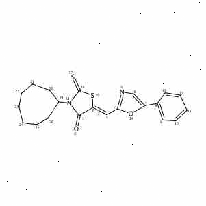 O=C1/C(=C/c2ncc(-c3ccccc3)o2)SC(=S)N1C1CCCCCCC1